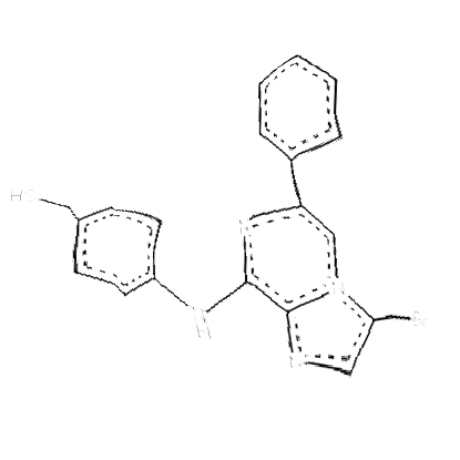 Sc1ccc(Nc2nc(-c3ccccc3)cn3c(Br)cnc23)cc1